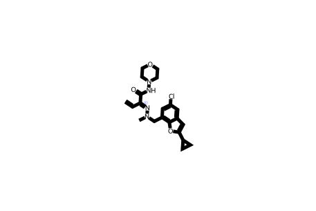 C=C/C(=N\N(C)Cc1cc(Cl)cc2cc(C3CC3)oc12)C(=O)NN1CCOCC1